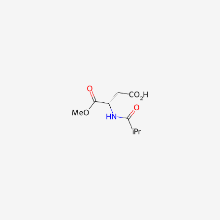 COC(=O)[C@H](CC(=O)O)NC(=O)C(C)C